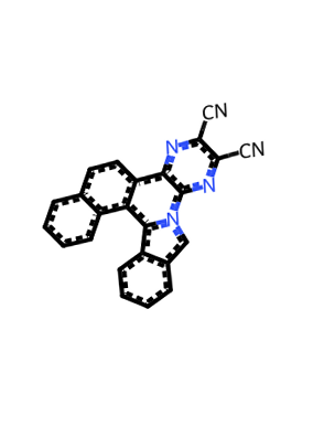 N#Cc1nc2c3ccc4ccccc4c3c3c4ccccc4cn3c2nc1C#N